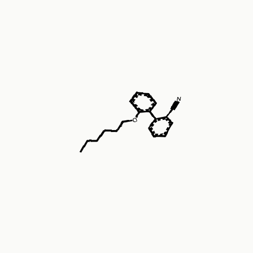 CCCCCCOc1ccccc1-c1ccccc1C#N